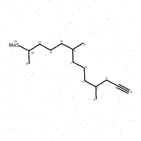 [C]#CCC(C)CCCC(C)CCCC(C)SC